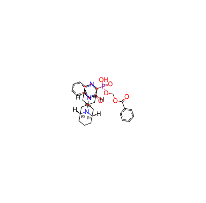 O=C(OCOP(=O)(O)c1nc2ccccc2n([C@H]2C[C@H]3CCC[C@@H](C2)N3[C@H]2C[C@@H]3CCC[C@@H](C3)C2)c1=O)c1ccccc1